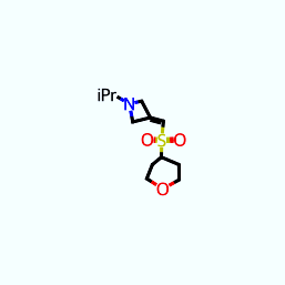 CC(C)N1CC(=CS(=O)(=O)C2CCOCC2)C1